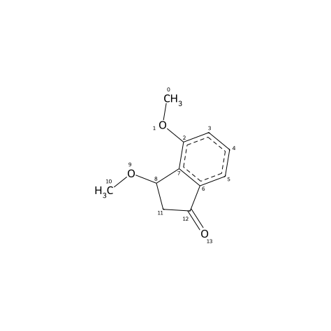 COc1cccc2c1C(OC)CC2=O